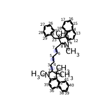 CN1/C(=C/C=C/C=C/C2=[N+](C)c3ccc4ccccc4c3C2(C)Cc2ccccc2)C(C)(C)c2c1ccc1ccccc21